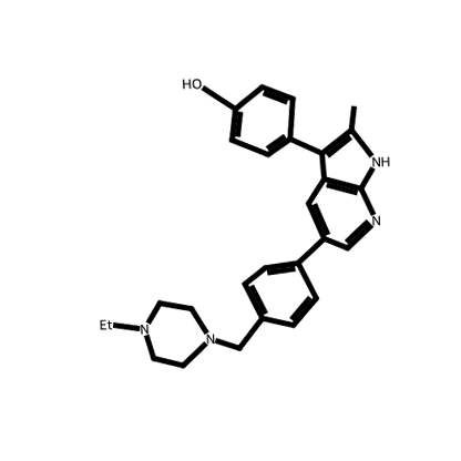 CCN1CCN(Cc2ccc(-c3cnc4[nH]c(C)c(-c5ccc(O)cc5)c4c3)cc2)CC1